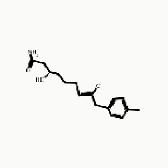 [CH2]c1ccc(CC(Cl)=CCCC[C@@H](O)CC(N)=O)cc1